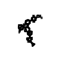 Cc1cnc(-c2cccc(N(CC34CCC(c5nc(C6CC6)no5)(CC3)CC4)C(=O)[C@@H]3CC(F)C4CC3C4)c2)cn1